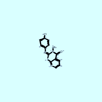 CCCn1c(=Nc2ccc(Cl)cc2)sc2ncccc2c1=O